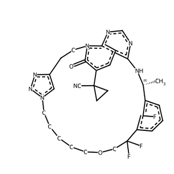 C[C@H]1Nc2ncnc3c2cc(C2(C#N)CC2)c(=O)n3CCc2cn(nn2)CCCCCOCC(F)(F)c2cccc1c2F